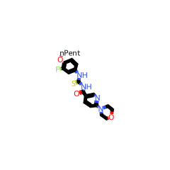 CCCCCOc1ccc(NC(=S)NC(=O)c2ccc(N3CCOCC3)nc2)cc1F